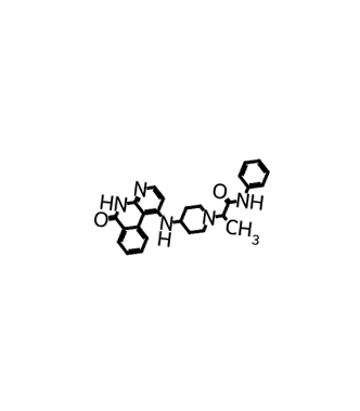 CC(C(=O)Nc1ccccc1)N1CCC(Nc2ccnc3[nH]c(=O)c4ccccc4c23)CC1